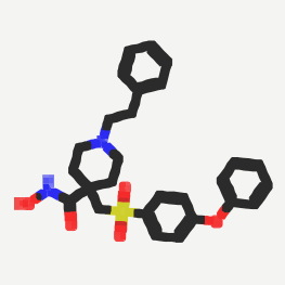 O=C(NO)C1(CS(=O)(=O)c2ccc(Oc3ccccc3)cc2)CCN(CCc2ccccc2)CC1